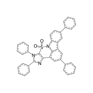 O=S1(=O)c2c(nc(-c3ccccc3)n2-c2ccccc2)-c2cc(-c3ccccc3)cc3c4cc(-c5ccccc5)ccc4n1c23